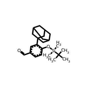 CC(C)(C)[Si](C)(C)Oc1ccc(C=O)cc1C12CC3CC(CC(C3)C1)C2